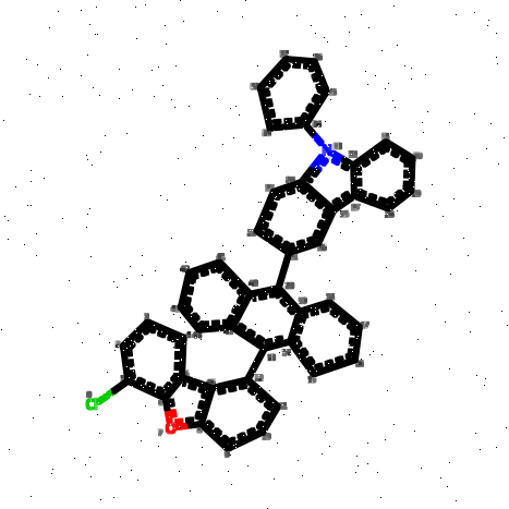 Clc1cccc2c1oc1cccc(-c3c4ccccc4c(-c4ccc5c(c4)c4ccccc4n5-c4ccccc4)c4ccccc34)c12